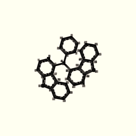 c1ccc(N(c2nccc3oc4ccccc4c23)c2ccnc3oc4ccccc4c23)cc1